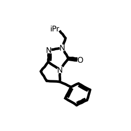 CC(C)Cn1nc2n(c1=O)C(c1ccccc1)CC2